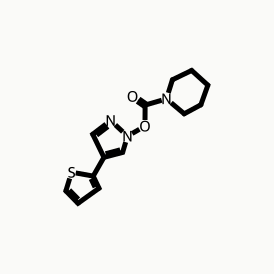 O=C(On1cc(-c2cccs2)cn1)N1CCCCC1